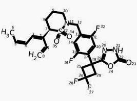 C=C/C(=C\C=C/C)[C@H]1CCCN(Cc2cc(F)c(C3(c4n[nH]c(=O)o4)CC(F)(F)C3)cc2F)S1(=O)=O